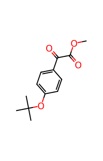 COC(=O)C(=O)c1ccc(OC(C)(C)C)cc1